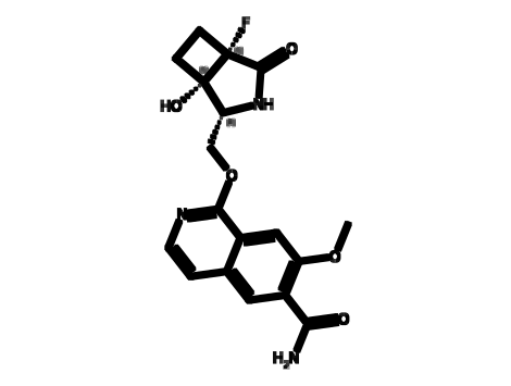 COc1cc2c(OC[C@H]3NC(=O)[C@]4(F)CC[C@]34O)nccc2cc1C(N)=O